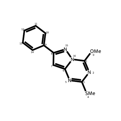 COc1nc(SC)nc2cc(-c3ccccc3)nn12